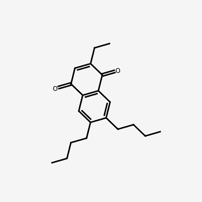 CCCCc1cc2c(cc1CCCC)C(=O)C(CC)=CC2=O